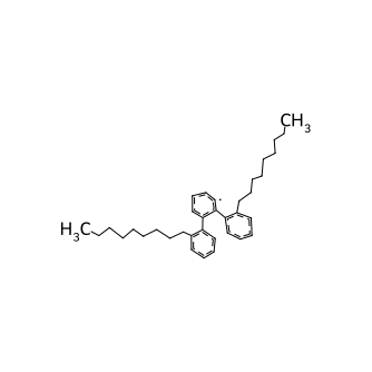 CCCCCCCCCc1ccccc1-c1[c]cccc1-c1ccccc1CCCCCCCCC